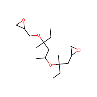 CCC(C)(CC(C)OC(C)(CC)CC1CO1)OCC1CO1